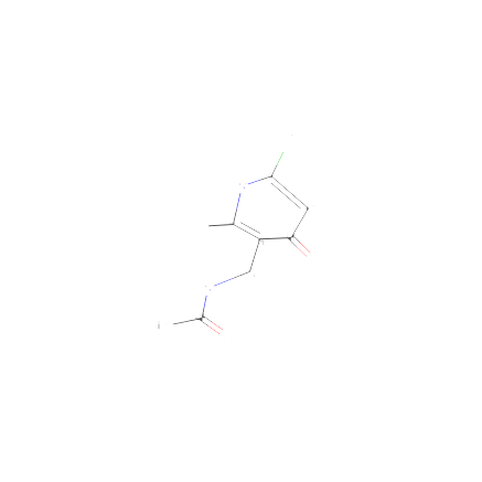 Cc1[nH]c(Cl)cc(=O)c1CNC(=O)C(C)C